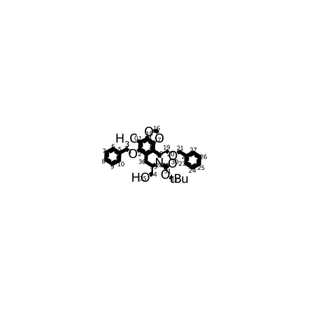 Cc1c(OCc2ccccc2)c2c(c3c1OCO3)[C@@H](COCc1ccccc1)N(C(=O)OC(C)(C)C)[C@@H](CO)C2